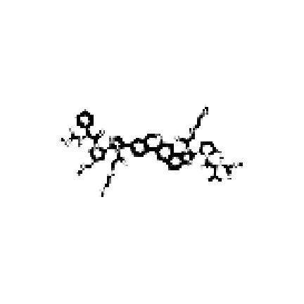 COCCOCC(=O)n1c(-c2ccc3c(c2)COc2cc4c(ccc5nc([C@H]6CC[C@@H](C)N6C(=O)[C@H](NC(=O)OC)C(C)C)n(C(=O)COCCOC)c54)cc2-3)cnc1[C@H]1C[C@@H](COC)CN1C(=O)[C@@H](NC(=O)OC)c1ccccc1